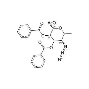 CC(=O)O[C@H]1OC(C)[C@@H](N=[N+]=[N-])C(OC(=O)c2ccccc2)[C@H]1OC(=O)c1ccccc1